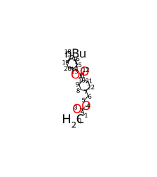 C=CC(=O)OCCC1CCC(C(=O)Oc2ccc(CCCC)cc2)CC1